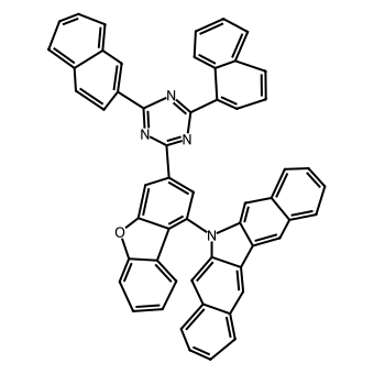 c1ccc2cc(-c3nc(-c4cc(-n5c6cc7ccccc7cc6c6cc7ccccc7cc65)c5c(c4)oc4ccccc45)nc(-c4cccc5ccccc45)n3)ccc2c1